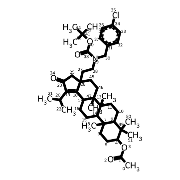 CC(=O)OC1CCC2(C)C(CCC3(C)C2CCC2C4=C(C(C)C)C(=O)CC4(CCN(Cc4ccc(Cl)cc4)C(=O)OC(C)(C)C)CCC23C)C1(C)C